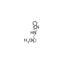 CN1CCCC1CCNCc1nc2ccccc2s1